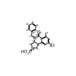 CCc1cc(C)c2c(c1)C1CN(C(=O)O)CC1N(Cc1ccccc1)C2=O